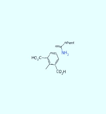 C=C(N)CCCCC.Cc1c(C(=O)O)cccc1C(=O)O